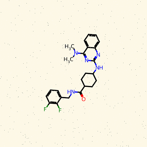 CN(C)c1nc(NC2CCC(C(=O)NCc3cccc(F)c3F)CC2)nc2ccccc12